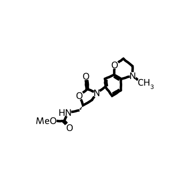 COC(=O)NC[C@H]1CN(c2ccc3c(c2)OCCN3C)C(=O)O1